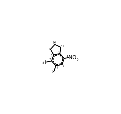 Cc1cc([N+](=O)[O-])c2c(c1I)CCC2